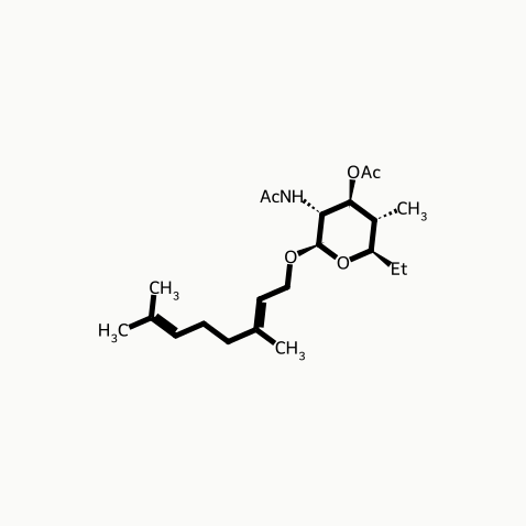 CC[C@H]1O[C@@H](OC/C=C(\C)CCC=C(C)C)[C@H](NC(C)=O)[C@@H](OC(C)=O)[C@@H]1C